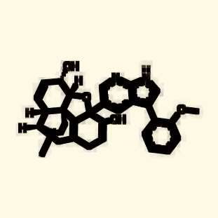 COc1ccccc1-c1c[nH]c2ncc(C34O[C@H]5[C@@H](O)C=C[C@H]6[C@H]7CC(=C3[C@]65CCN7C)CC=C4O)cc12